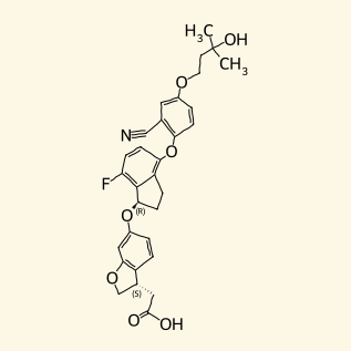 CC(C)(O)CCOc1ccc(Oc2ccc(F)c3c2CC[C@H]3Oc2ccc3c(c2)OC[C@H]3CC(=O)O)c(C#N)c1